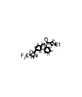 CCN1CC(C(=O)N(Cc2ccc(-c3nnc(C(F)(F)F)o3)cc2)c2ccccc2)C1